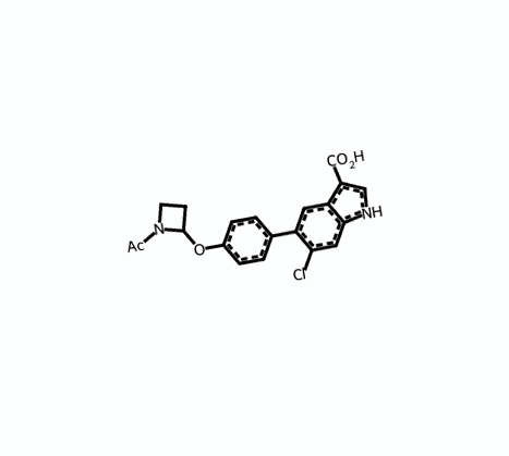 CC(=O)N1CCC1Oc1ccc(-c2cc3c(C(=O)O)c[nH]c3cc2Cl)cc1